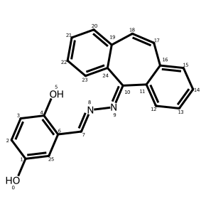 Oc1ccc(O)c(/C=N/N=c2c3ccccc3ccc3ccccc23)c1